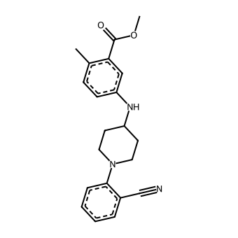 COC(=O)c1cc(NC2CCN(c3ccccc3C#N)CC2)ccc1C